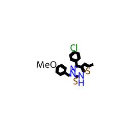 COc1ccc(CN2N=C(c3ccc(Cl)cc3)c3cc(C)sc3NC2=S)cc1